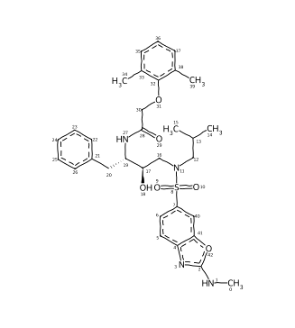 CNc1nc2ccc(S(=O)(=O)N(CC(C)C)C[C@@H](O)[C@H](Cc3ccccc3)NC(=O)COc3c(C)cccc3C)cc2o1